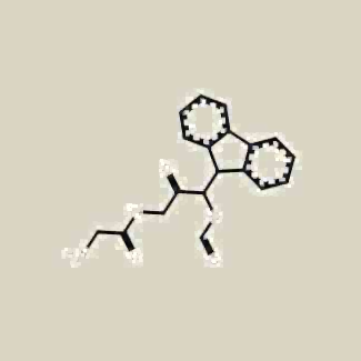 NCC(=O)NCC(=O)C(O[C]=O)C1c2ccccc2-c2ccccc21